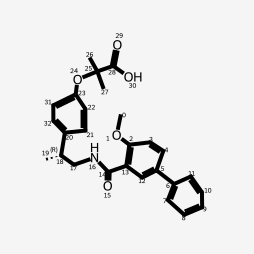 COc1ccc(-c2ccccc2)cc1C(=O)NC[C@H](C)c1ccc(OC(C)(C)C(=O)O)cc1